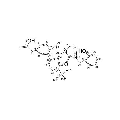 C=C(O)Cc1ccc(OC)c(-c2ccc(C(F)(F)F)cc2CN(CC)C(=O)NCc2ccccc2O)c1